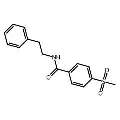 CS(=O)(=O)c1ccc(C(=O)NCCc2ccccc2)cc1